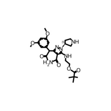 COc1cc(OC)cc(C(C(C)=O)c2nn([C@H]3CCNC3)c(NCCOC(=O)C(C)(C)C)c2C(N)=O)c1